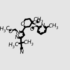 COCn1nc(C(C)(C)C#N)cc1C1CC(C)(S(=O)(=O)c2cccc(C)n2)CCO1